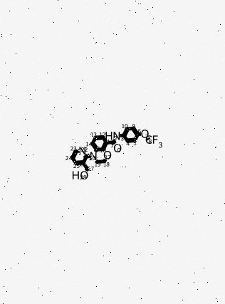 O=C(Nc1ccc(OC(F)(F)F)cc1)c1cccc2c1OCCN2c1ncccc1CO